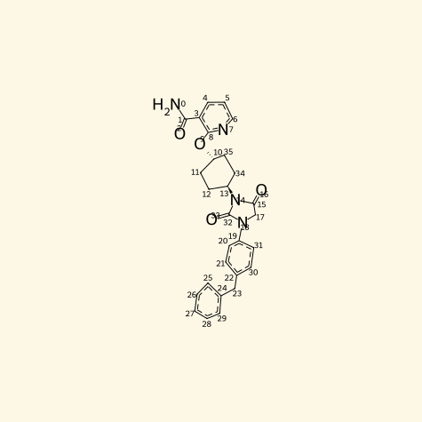 NC(=O)c1cccnc1O[C@H]1CC[C@H](N2C(=O)CN(c3ccc(Cc4ccccc4)cc3)C2=O)CC1